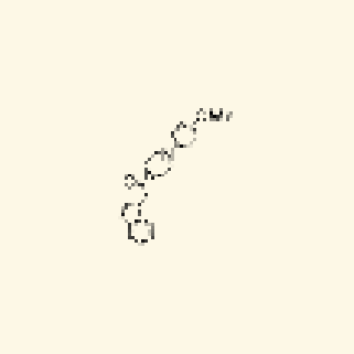 COc1ccc(N2CCN(C(=O)CC3C=Cc4ccccc43)CC2)cc1